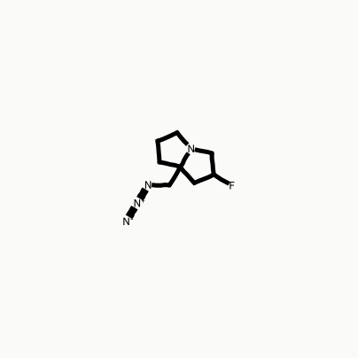 [N-]=[N+]=NCC12CCCN1CC(F)C2